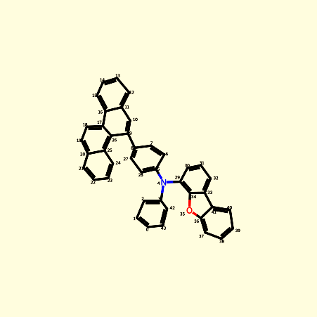 c1ccc(N(c2ccc(-c3cc4ccccc4c4ccc5ccccc5c34)cc2)c2cccc3c2oc2ccccc23)cc1